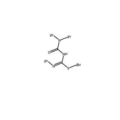 CCC(C)SC(=NC(C)C)NC(=O)N(C(C)C)C(C)C